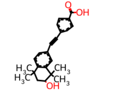 CC1(C)CC(O)C(C)(C)c2cc(C#Cc3ccc(C(=O)O)cc3)ccc21